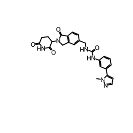 Cn1nccc1-c1cccc(NC(=O)NCc2ccc3c(c2)CN(C2CCC(=O)NC2=O)C3=O)c1